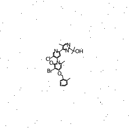 Cc1ccccc1COc1cc(C)n(-c2cc(-c3nc(C(C)(C)O)ncc3C)ncc2Cl)c(=O)c1Br